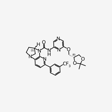 CC1(C)OC[C@@H](COc2cncc(NC(=O)N3c4nc(-c5cccc(C(F)(F)F)c5)ccc4N4CC[C@H]3C4)n2)O1